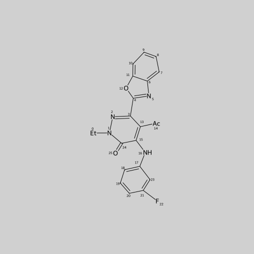 CCn1nc(-c2nc3ccccc3o2)c(C(C)=O)c(Nc2cccc(F)c2)c1=O